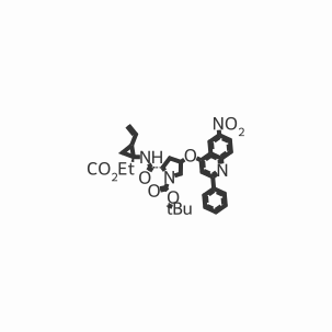 C=CC1C[C@]1(NC(=O)[C@@H]1CC(Oc2cc(-c3ccccc3)nc3ccc([N+](=O)[O-])cc23)CN1C(=O)OC(C)(C)C)C(=O)OCC